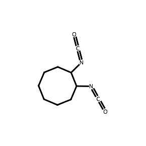 O=C=NC1CCCCCCC1N=C=O